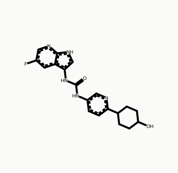 O=C(Nc1ccc(C2CCC(O)CC2)nc1)Nc1c[nH]c2ncc(F)cc12